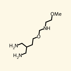 COCCNCOCCC(CN)CN